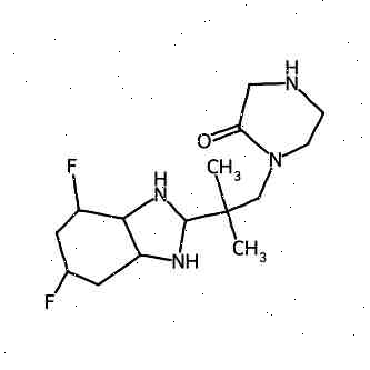 CC(C)(CN1CCNCC1=O)C1NC2CC(F)CC(F)C2N1